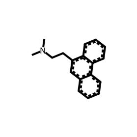 CN(C)CCc1cc2ccccc2c2ccccc12